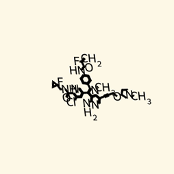 C=C(F)C(=O)Nc1ccc(-c2c(-c3cnc(C(=O)NCC4(F)CC4)c(Cl)c3)c3c(N)ncc(C#CCO[C@@H]4CCN(C)C4)c3n2C)cc1